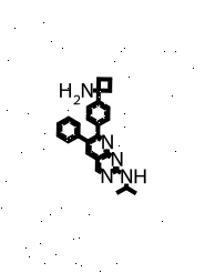 CC(C)Nc1ncc2cc(-c3ccccc3)c(-c3ccc(C4(N)CCC4)cc3)nc2n1